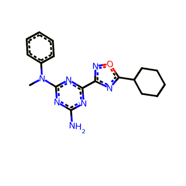 CN(c1ccccc1)c1nc(N)nc(-c2noc(C3CCCCC3)n2)n1